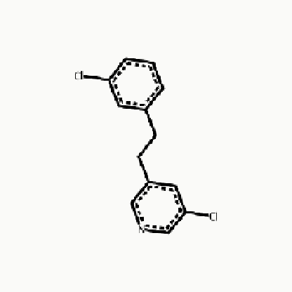 Clc1cccc(CCc2cncc(Cl)c2)c1